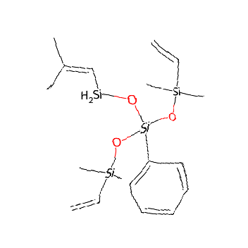 C=C[Si](C)(C)O[Si](O[SiH2]C=C(C)C)(O[Si](C)(C)C=C)c1ccccc1